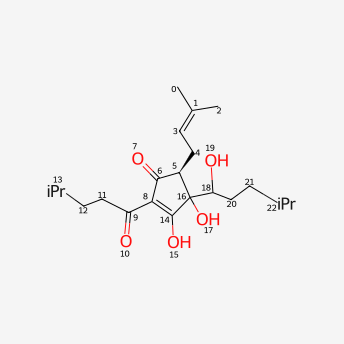 CC(C)=CC[C@@H]1C(=O)C(C(=O)CCC(C)C)=C(O)C1(O)C(O)CCC(C)C